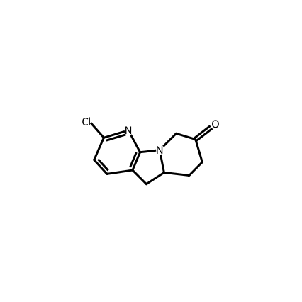 O=C1CCC2Cc3ccc(Cl)nc3N2C1